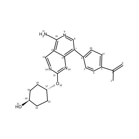 C=C(C)c1ccc(-c2cnc(N)c3cnc(O[C@H]4CC[C@H](O)CC4)nc23)cc1